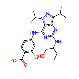 CCC(CO)Nc1nc(Nc2ccc(C(=O)O)c(Cl)c2)c2c(n1)c(C(C)C)nn2C(C)C